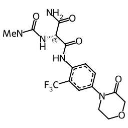 CNC(=O)N[C@H](C(N)=O)C(=O)Nc1ccc(N2CCOCC2=O)cc1C(F)(F)F